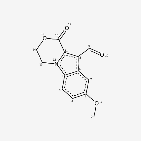 COc1ccc2c(c1)c(C=O)c1n2CCOC1=O